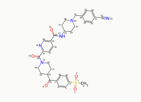 CS(=O)(=O)c1ccc(C(=O)C2CCN(C(=O)c3ccc(C(=O)NC4CCN(Cc5ccc(C#N)cc5)CC4)cn3)CC2)cc1